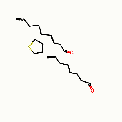 C1CCSC1.C=CCCCCCC=O.C=CCCCCCCC=O